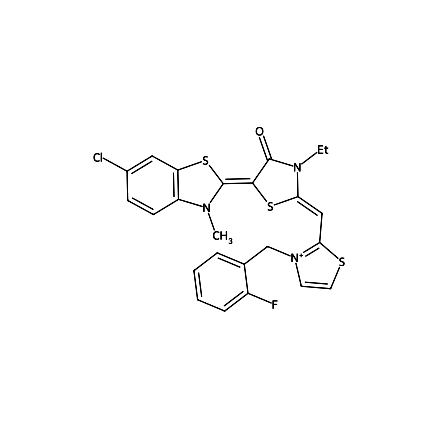 CCn1c(=O)/c(=C2\Sc3cc(Cl)ccc3N2C)s/c1=C\c1scc[n+]1Cc1ccccc1F